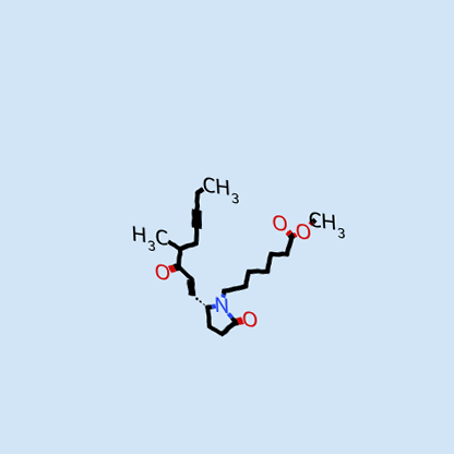 CCC#CCC(C)C(=O)/C=C/[C@H]1CCC(=O)N1CCCCCCC(=O)OC